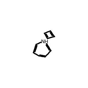 C1=CC=C1.C1=CC=CNC=C1